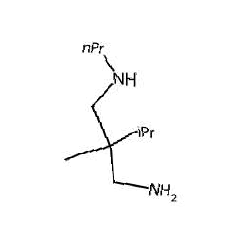 CCCNCC(C)(CN)C(C)C